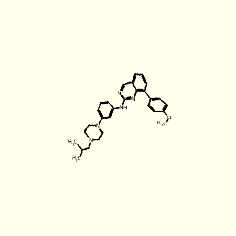 COc1ccc(-c2cccc3cnc(Nc4cccc(N5CCN(CC(C)C)CC5)c4)nc23)cc1